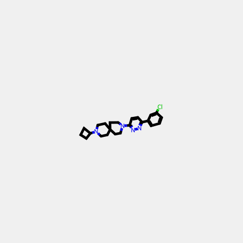 Clc1cccc(-c2ccc(N3CCC4(CC3)CCN(C3CCC3)CC4)nn2)c1